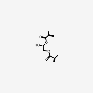 C=C(C)C(=O)OC[C@@H](O)OC(=O)C(=C)C